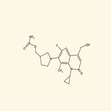 Cc1c(N2CCC(COC(N)=O)C2)c(F)cc2c(CO)cc(=O)n(C3CC3)c12